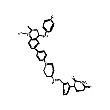 CC(=O)N1c2ccc(-c3ccc(N4CCC(N(C)Cc5cccc(C6CCC(=O)NC6=O)c5)CC4)cc3)cc2C(Nc2ccc(Cl)cc2)CC1C